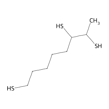 CC(S)C(S)CCCCCS